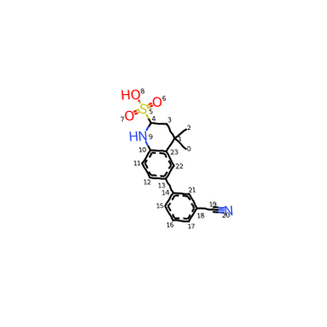 CC1(C)CC(S(=O)(=O)O)Nc2ccc(-c3cccc(C#N)c3)cc21